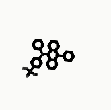 O=P(O)(O)c1ccc(N(c2ccccc2)c2c3ccccc3c(-c3ccccc3)c3ccccc23)cc1